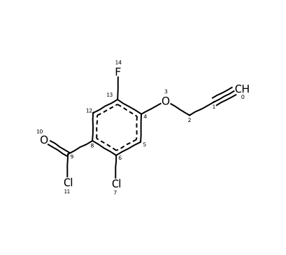 C#CCOc1cc(Cl)c(C(=O)Cl)cc1F